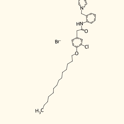 CCCCCCCCCCCCCCOc1ccc(CC(=O)Nc2ccccc2C[n+]2ccsc2)cc1Cl.[Br-]